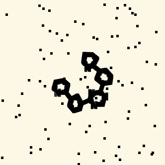 c1ccc(-c2cccc(-c3ncnc(-c4cccc(-c5ccccn5)c4)n3)c2)nc1